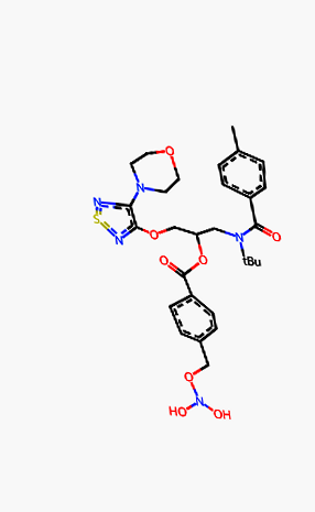 Cc1ccc(C(=O)N(CC(COc2nsnc2N2CCOCC2)OC(=O)c2ccc(CON(O)O)cc2)C(C)(C)C)cc1